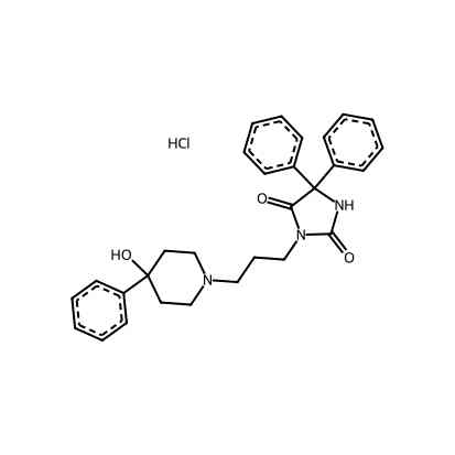 Cl.O=C1NC(c2ccccc2)(c2ccccc2)C(=O)N1CCCN1CCC(O)(c2ccccc2)CC1